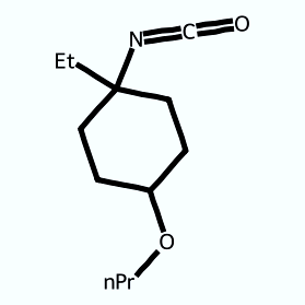 CCCOC1CCC(CC)(N=C=O)CC1